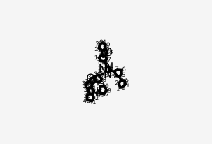 c1ccc(-c2cccc(-c3nc(-c4ccc5c(c4)oc4ccccc45)nc(-c4ccc5c(c4)oc4ccc6c7ccccc7n(-c7ccccc7)c6c45)n3)c2)cc1